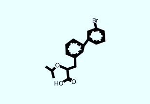 CC(C)OC(Cc1cccc(-c2cccc(Br)c2)c1)C(=O)O